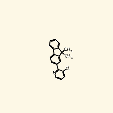 CC1(C)c2ccccc2-c2ccc(-c3ncccc3Cl)cc21